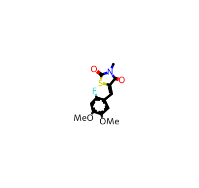 COc1cc(F)c(/C=C2\SC(=O)N(C)C2=O)cc1OC